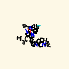 CC(=O)N1CCC(N2CC[C@@H](Cc3cn(-c4ccc(F)cc4C(=O)N(C)C(C)C)c4cncc(C)c34)C2)C(C)(C)C1